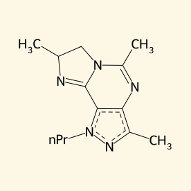 CCCn1nc(C)c2c1C1=NC(C)CN1C(C)=N2